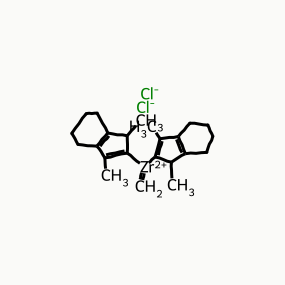 [CH2]=[Zr+2]([C]1=C(C)C2=C(CCCC2)C1C)[C]1=C(C)C2=C(CCCC2)C1C.[Cl-].[Cl-]